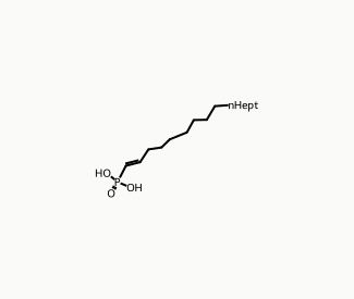 CCCCCCCCCCCCCC/C=C/P(=O)(O)O